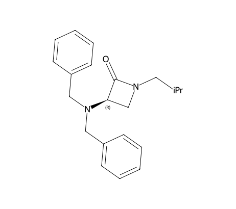 CC(C)CN1C[C@@H](N(Cc2ccccc2)Cc2ccccc2)C1=O